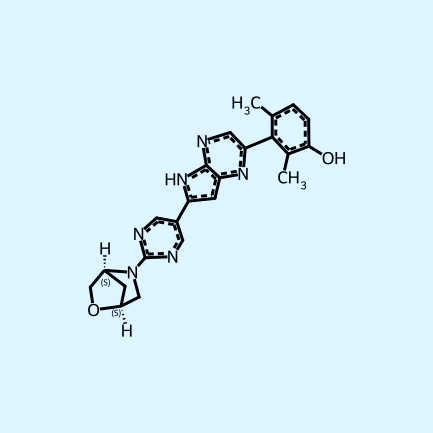 Cc1ccc(O)c(C)c1-c1cnc2[nH]c(-c3cnc(N4C[C@@H]5C[C@H]4CO5)nc3)cc2n1